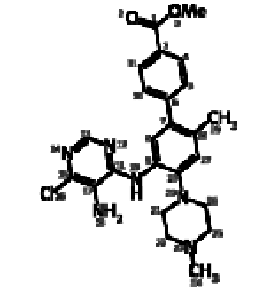 COC(=O)c1ccc(-c2cc(Nc3ncnc(Cl)c3N)c(N3CCN(C)CC3)cc2C)cc1